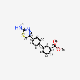 CNC1=NN=C(c2ccc(-c3cccc(C(=O)OC)c3)cc2)CS1